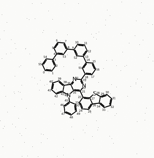 c1ccc(-c2cccc(-c3cccc(-c4cccc(-c5nc(-c6cccc7c6sc6ccccc67)c6c(n5)c5ccccc5n6-c5ccccc5)c4)c3)c2)cc1